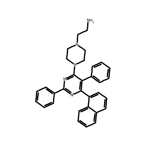 NCCN1CCN(c2nc(-c3ccccc3)nc(-c3cccc4ccccc34)c2-c2ccccc2)CC1